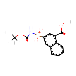 COC(=O)c1cc(S(=O)(=O)NC(=O)OC(C)(C)C)cc2ccccc12